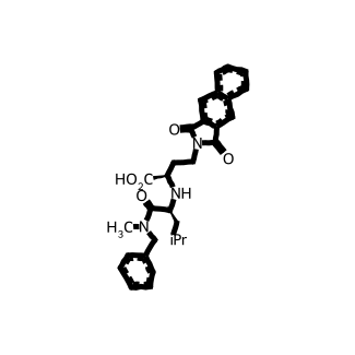 CC(C)C[C@H](N[C@H](CCN1C(=O)c2cc3ccccc3cc2C1=O)C(=O)O)C(=O)N(C)Cc1ccccc1